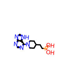 OP(O)CCC1CCN(c2ncnc3nc[nH]c23)CC1